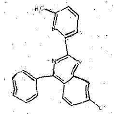 Cc1cccc(-c2nc(-c3ccccc3)c3ccc(Cl)cc3n2)n1